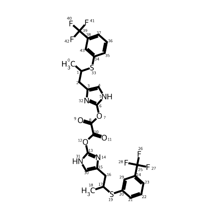 CC(Cc1c[nH]c(OC(=O)C(=O)Oc2nc(CC(C)Sc3cccc(C(F)(F)F)c3)c[nH]2)n1)Sc1cccc(C(F)(F)F)c1